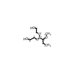 CCC(OC)N(OCCO)OCCO